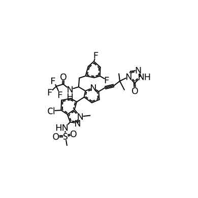 Cn1nc(NS(C)(=O)=O)c2c(Cl)ccc(-c3ccc(C#CC(C)(C)n4cn[nH]c4=O)nc3C(Cc3cc(F)cc(F)c3)NC(=O)C(F)(F)F)c21